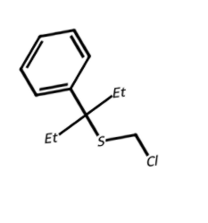 CCC(CC)(SCCl)c1ccccc1